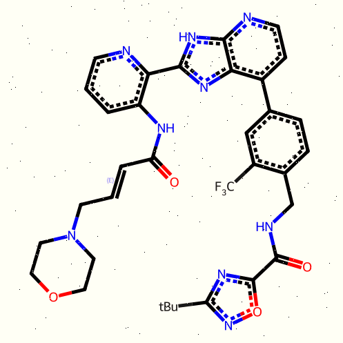 CC(C)(C)c1noc(C(=O)NCc2ccc(-c3ccnc4[nH]c(-c5ncccc5NC(=O)/C=C/CN5CCOCC5)nc34)cc2C(F)(F)F)n1